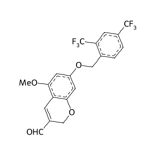 COc1cc(OCc2ccc(C(F)(F)F)cc2C(F)(F)F)cc2c1C=C(C=O)CO2